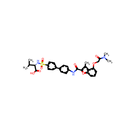 Cc1c(C(=O)Nc2ccc(-c3ccc(S(=O)(=O)N[C@H](C(=O)O)C(C)C)cc3)cc2)oc2cccc(OCC(=O)N(C)C)c12